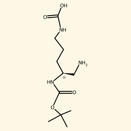 CC(C)(C)OC(=O)N[C@H](CN)CCCNC(=O)O